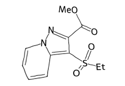 CCS(=O)(=O)c1c(C(=O)OC)nn2ccccc12